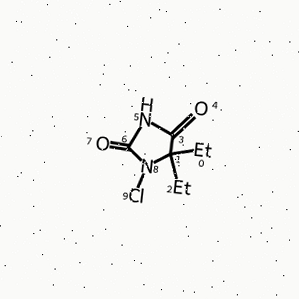 CCC1(CC)C(=O)NC(=O)N1Cl